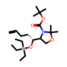 C=CCC[C@@H](O[Si](CC)(CC)CC)C1COC(C)(C)N1C(=O)OC(C)(C)C